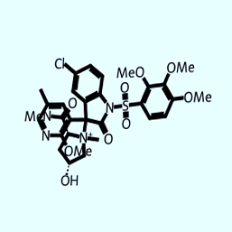 CNC(=O)[C@@H]1C[C@@H](O)C[N+]1(C)C1(c2cc(C)cnc2OC)C(=O)N(S(=O)(=O)c2ccc(OC)c(OC)c2OC)c2ccc(Cl)cc21